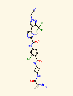 C[C@@H](N)C(=O)N[C@H]1C[C@@H](NC(=O)c2ccc(NC(=O)c3ncc(-c4cn(CC#N)nc4C(F)(F)F)n3C)cc2Cl)C1